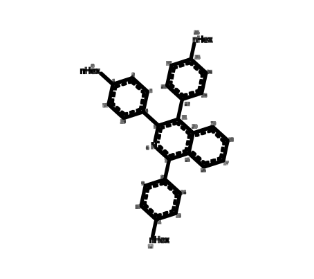 CCCCCCc1ccc(-c2nc(-c3ccc(CCCCCC)cc3)c3ccccc3c2-c2ccc(CCCCCC)cc2)cc1